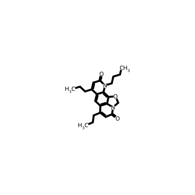 CCCCn1c(=O)cc(CCC)c2cc3c(CCC)cc(=O)n4c3c(c21)OC4